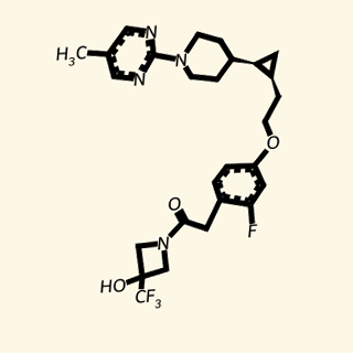 Cc1cnc(N2CCC([C@H]3C[C@H]3CCOc3ccc(CC(=O)N4CC(O)(C(F)(F)F)C4)c(F)c3)CC2)nc1